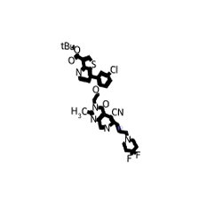 Cc1nc2cnc(/C=C/CN3CCC(F)(F)CC3)c(C#N)c2c(=O)n1CCOc1ccc(Cl)cc1-c1ccnc2c(C(=O)OC(C)(C)C)csc12